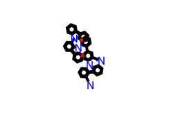 N#Cc1cc(-c2ccccc2-n2c3ccccc3c3cccc(-n4c5ccccc5c5ccccc54)c32)ccc1-n1c2ccccc2c2c(C#N)cccc21